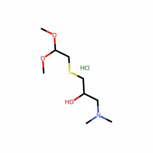 COC(CSCC(O)CN(C)C)OC.Cl